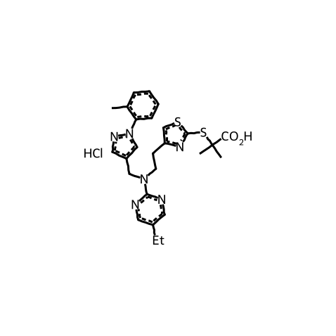 CCc1cnc(N(CCc2csc(SC(C)(C)C(=O)O)n2)Cc2cnn(-c3ccccc3C)c2)nc1.Cl